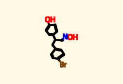 ON=CC(Cc1ccc(Br)cc1)c1ccc(O)cc1